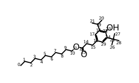 CCCCCCCCCCCOC(=O)CCc1cc(C(C)C)c(O)c(C(C)(C)C)c1